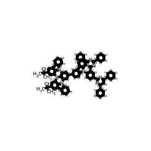 CC(C)(C)c1cc2c3c(c1)c1ccccc1n3-c1cc(-c3ccc4c(c3)c3ccccc3n4-c3ccc(-c4nc(-c5ccccc5)cc(-c5ccccc5)n4)cc3-c3nc(-c4ccccc4)nc(-c4ccccc4)n3)cc3c1B2c1cc(C(C)(C)C)cc2c4ccccc4n-3c12